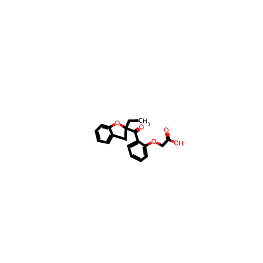 CCC1(C(=O)c2ccccc2OCC(=O)O)Cc2ccccc2O1